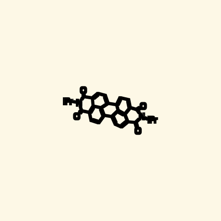 CC(C)N1C(=O)c2ccc3c4ccc5c6c(ccc(c7ccc(c2c37)C1=O)c64)C(=O)N(C(C)C)C5=O